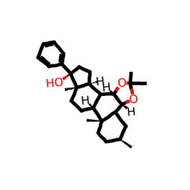 C[C@H]1CC[C@@]2(C)C(C1)[C@H]1OC(C)(C)O[C@@H]1C1[C@@H]2CC[C@@]2(C)[C@H]1CC[C@@]2(O)c1ccccc1